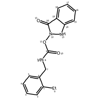 CCc1ccccc1CNC(=O)On1[nH]c2ccccc2c1=O